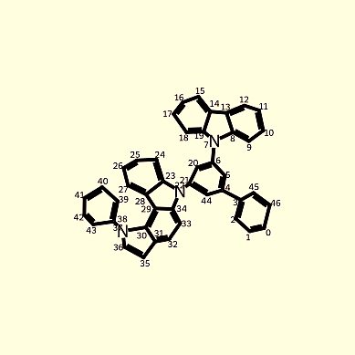 c1ccc(-c2cc(-n3c4ccccc4c4ccccc43)cc(-n3c4ccccc4c4c5c(ccc43)ccn5-c3ccccc3)c2)cc1